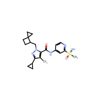 CS(=N)(=O)c1cc(NC(=O)c2c(C(F)(F)F)c(C3CC3)nn2CC2CCC23CC3)ccn1